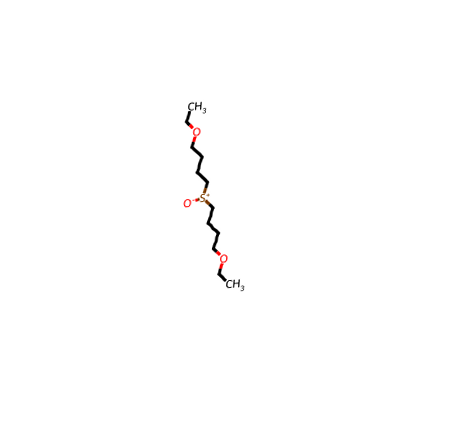 CCOCCCC[S+]([O-])CCCCOCC